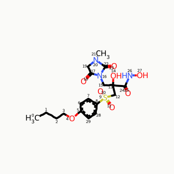 CCCCOc1ccc(S(=O)(=O)CC(O)(CN2C(=O)CN(C)C2=O)C(=O)NO)cc1